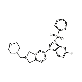 O=S(=O)(c1ccccc1)n1cc(-c2ccc3c(c2)CN(CN2CCOCC2)C3)c2ccc(F)cc21